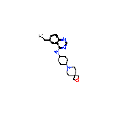 N#CCc1ccc2ncnc(NC3CCC(N4CCC5(CC4)COC5)CC3)c2c1